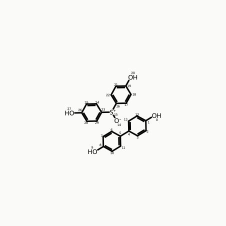 Oc1ccc(-c2ccc(O)cc2)cc1.[O-][S+](c1ccc(O)cc1)c1ccc(O)cc1